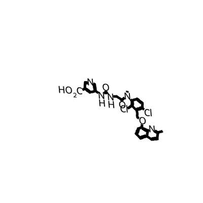 Cc1ccc2cccc(OCc3c(Cl)ccc(N(C)C(=O)CNC(=O)Nc4cncc(C(=O)O)c4)c3Cl)c2n1